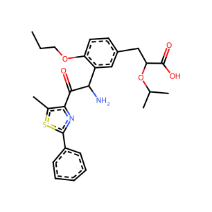 CCCOc1ccc(CC(OC(C)C)C(=O)O)cc1C(N)C(=O)c1nc(-c2ccccc2)sc1C